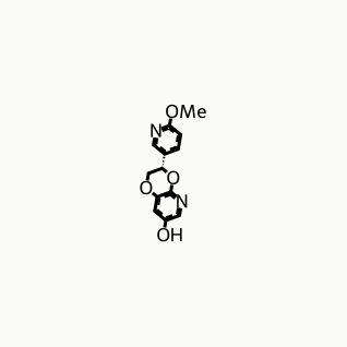 COc1ccc([C@H]2COc3cc(O)cnc3O2)cn1